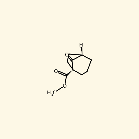 COC(=O)[C@@]12CCC[C@@H](CC1)C2=O